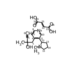 C#CC(C)(O)Cc1ccncc1C1CCCN1C.O=C(O)/C=C/C(=O)O